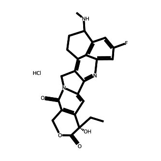 CC[C@@]1(O)C(=O)OCc2c1cc1n(c2=O)Cc2c-1nc1cc(F)cc3c1c2CCC3NC.Cl